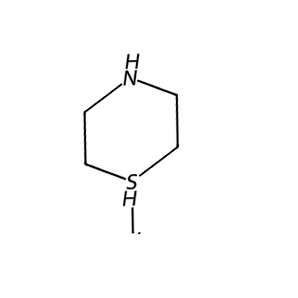 [CH2][SH]1CCNCC1